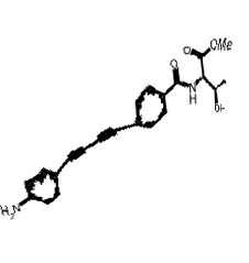 COC(=O)[C@H](NC(=O)c1ccc(C#CC#Cc2ccc(N)cc2)cc1)[C@@H](C)O